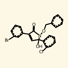 O=C1C(c2cccc(Br)c2)=CC(O)(c2ccccc2Cl)N1OCc1ccccc1